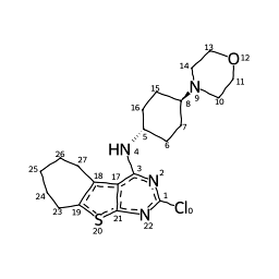 Clc1nc(N[C@H]2CC[C@H](N3CCOCC3)CC2)c2c3c(sc2n1)CCCCC3